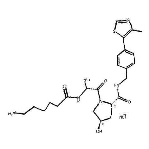 Cc1ncsc1-c1ccc(CNC(=O)[C@@H]2C[C@@H](O)CN2C(=O)C(NC(=O)CCCCCN)C(C)(C)C)cc1.Cl